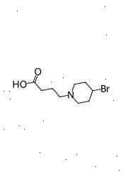 O=C(O)CCCN1CCC(Br)CC1